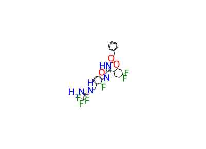 N[C@@H](CNCc1ccc2oc([C@@H](NC(=O)OCc3ccccc3)C3CCC(F)(F)CC3)nc2c1F)C(F)(F)F